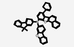 CC1(C)c2ccccc2-c2ccc(N(c3ccc4c(c3)oc3ccccc34)c3ccc(C4=CC=CCC4)c4c3oc3c5ccccc5ccc34)cc21